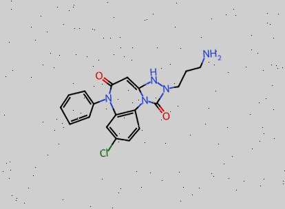 NCCCN1NC2=CC(=O)N(c3ccccc3)c3cc(Cl)ccc3N2C1=O